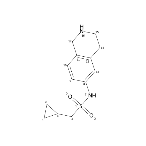 O=S(=O)(CC1CC1)Nc1ccc2c(c1)CCNC2